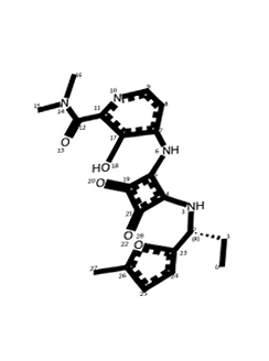 CC[C@@H](Nc1c(Nc2ccnc(C(=O)N(C)C)c2O)c(=O)c1=O)c1ccc(C)o1